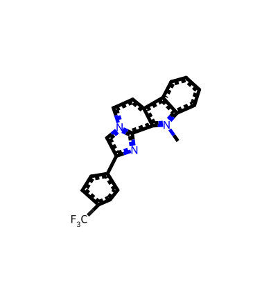 Cn1c2ccccc2c2ccn3cc(-c4ccc(C(F)(F)F)cc4)nc3c21